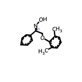 Cc1cccc(C)c1OC/C(=N\O)c1ccccc1